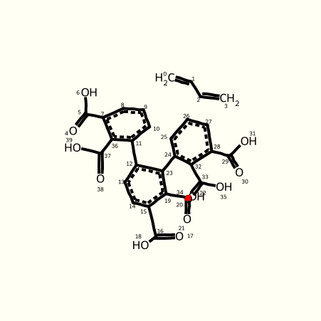 C=CC=C.O=C(O)c1cccc(-c2ccc(C(=O)O)c(C(=O)O)c2-c2cccc(C(=O)O)c2C(=O)O)c1C(=O)O